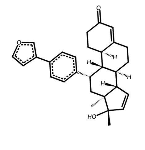 C[C@]1(O)C=C[C@H]2[C@@H]3CCC4=CC(=O)CC[C@@H]4[C@H]3[C@@H](c3ccc(-c4ccoc4)cc3)C[C@@]21C